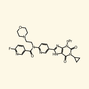 CCCn1c(=O)n(C2CC2)c(=O)c2[nH]c(-c3ccc(N(CCN4CCOCC4)C(=O)c4ccc(F)nc4)nc3)nc21